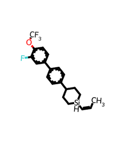 C/C=C\[SiH]1CCC(c2ccc(-c3ccc(OC(F)(F)F)c(F)c3)cc2)CC1